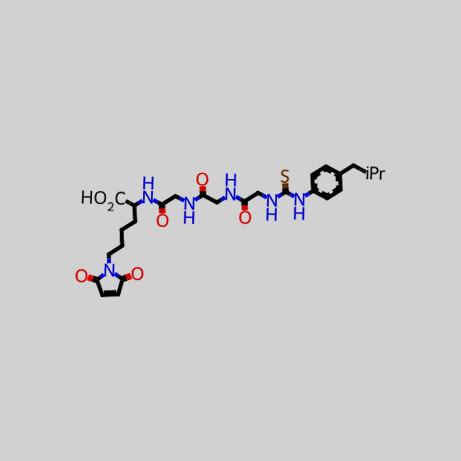 CC(C)Cc1ccc(NC(=S)NCC(=O)NCC(=O)NCC(=O)NC(CCCCN2C(=O)C=CC2=O)C(=O)O)cc1